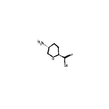 N[C@@H]1CC[C@@H](C(=O)O)NC1